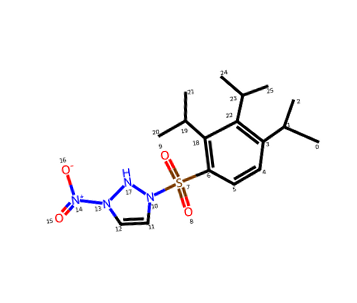 CC(C)c1ccc(S(=O)(=O)N2C=CN([N+](=O)[O-])N2)c(C(C)C)c1C(C)C